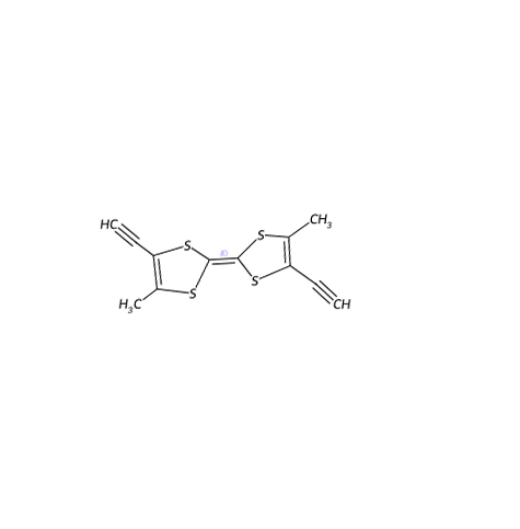 C#CC1=C(C)S/C(=C2/SC(C)=C(C#C)S2)S1